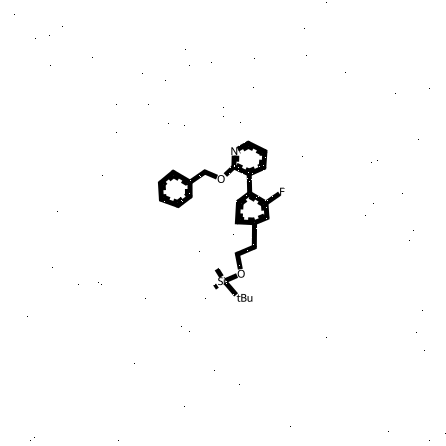 CC(C)(C)[Si](C)(C)OCCc1ccc(-c2cccnc2OCc2ccccc2)c(F)c1